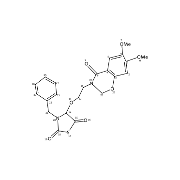 COc1cc2c(cc1OC)C(=O)N(CCOC1C(=O)SC(=O)N1Cc1ccccc1)CO2